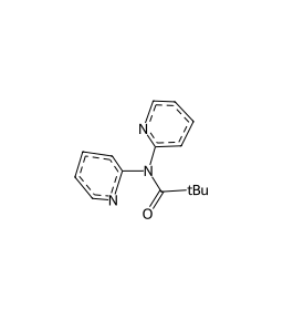 CC(C)(C)C(=O)N(c1ccccn1)c1ccccn1